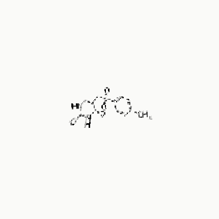 Cc1ccc(S(=O)(=O)Cc2c[nH]c(=O)[nH]c2=O)cc1